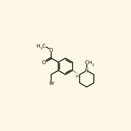 COC(=O)c1ccc([C@H]2CCCCN2C)cc1CBr